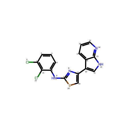 Clc1cccc(Nc2nc(-c3c[nH]c4ncccc34)cs2)c1Cl